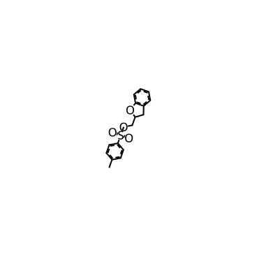 Cc1ccc(S(=O)(=O)OCC2Cc3ccccc3O2)cc1